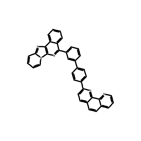 c1cc(-c2ccc(-c3ccc4ccc5cccnc5c4n3)cc2)cc(-c2nc3c(nc4ccccn43)c3ccccc23)c1